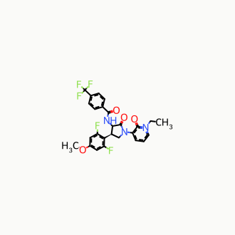 CCn1cccc(N2C[C@@H](c3c(F)cc(OC)cc3F)C(NC(=O)c3ccc(C(F)(F)F)cc3)C2=O)c1=O